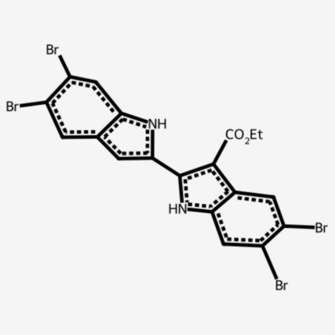 CCOC(=O)c1c(-c2cc3cc(Br)c(Br)cc3[nH]2)[nH]c2cc(Br)c(Br)cc12